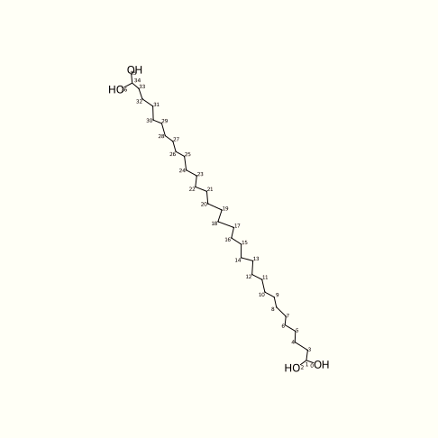 OC(O)CCCCCCCCCCCCCCCCCCCCCCCCCCCCCCCC(O)O